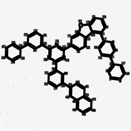 c1ccc(-c2ccc(-c3cccc4oc5cc(-c6nc(-c7cccc(-c8ccccc8)c7)nc(-c7cccc(-c8ccc9ccccc9c8)c7)n6)ccc5c34)cc2)cc1